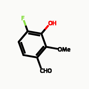 COc1c(C=O)ccc(F)c1O